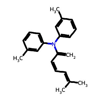 C=C(/C=C\C=C(C)C)N(c1cccc(C)c1)c1cccc(C)c1